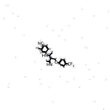 CC(=N)/C(COc1ccc(C(F)(F)F)cc1)=C(/C)Nc1ccc(C#N)c(I)c1